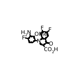 COc1c(-n2cc(C(=O)O)c(=O)c3cc(F)c(F)cc32)ccc(F)c1N